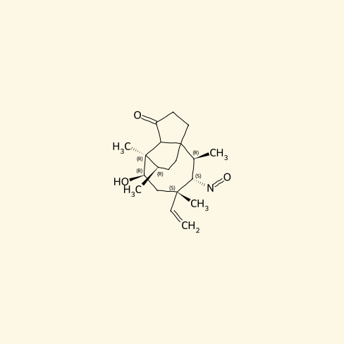 C=C[C@]1(C)C[C@@H](O)[C@@]2(C)C3C(=O)CCC3(CC[C@H]2C)[C@@H](C)[C@@H]1N=O